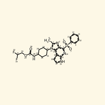 Cc1nc2c(S(=O)(=O)c3ccccc3)nc3[nH]ccc3c2n1C1CCC(NC(=O)OCC(F)F)CC1